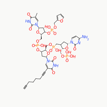 C#CCCCCC#Cc1cn([C@H]2CC(OP(=O)(O)OC[C@H]3O[C@@H](n4cc(C)c(=O)[nH]c4=O)CC3OP(=O)(O)OCc3ccco3)[C@@H](COP(=O)(O)CC3C[C@H](n4ccc(N)nc4=O)O[C@@H]3COP(=O)(O)O)O2)c(=O)[nH]c1=O